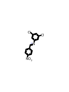 O=[N+]([O-])c1ccc(/C=N/c2cc(Cl)cc(Cl)c2)cc1